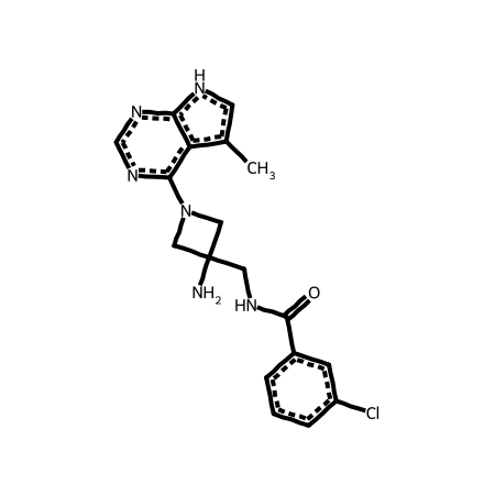 Cc1c[nH]c2ncnc(N3CC(N)(CNC(=O)c4cccc(Cl)c4)C3)c12